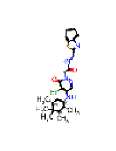 C[C@@H]1[C@@H](C)C(C)(C)[C@@H](C)C[C@H]1Nc1cnn(CC(=O)NCc2nc3ccccc3s2)c(=O)c1Br